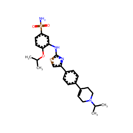 CC(C)Oc1ccc(S(N)(=O)=O)cc1Nc1nc(-c2ccc(C3=CCN(C(C)C)CC3)cc2)cs1